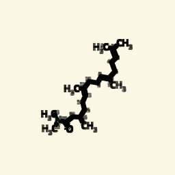 CC(C)=CCCC(C)=CCCC(C)=CCCC(C)CC(=O)N(C)C